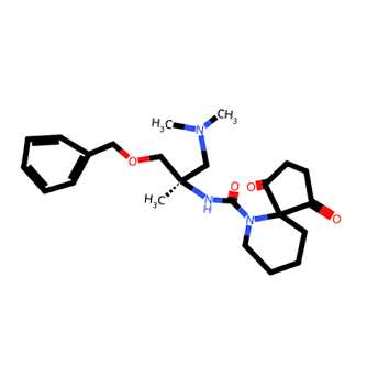 CN(C)C[C@](C)(COCc1ccccc1)NC(=O)N1CCCCC12C(=O)CCC2=O